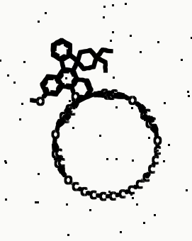 CCC1(CC)CCC2(CC1)c1ccccc1-c1c2c2c(c3cc(OC)ccc13)OC1(C=C2)c2ccc(cc2)Oc2ccc(cc2)OCCCCCCCCCCCCOc2ccc(cc2)Oc2ccc1cc2